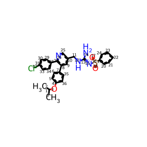 CC(C)Oc1ccc(-c2cc(CN/C(N)=N/S(=O)(=O)c3ccccc3)cnc2-c2ccc(Cl)cc2)cc1